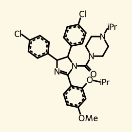 COc1ccc(C2=NC(c3ccc(Cl)cc3)C(c3ccc(Cl)cc3)N2C(=O)N2CCN(C(C)C)CC2)c(OC(C)C)c1